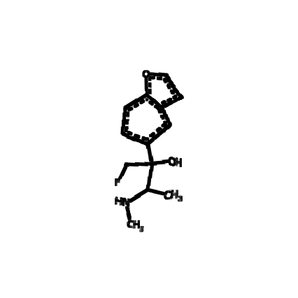 CNC(C)C(O)(CF)c1ccc2occc2c1